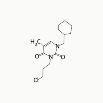 Cc1cn(CC2CCCCC2)c(=O)n(CCCCl)c1=O